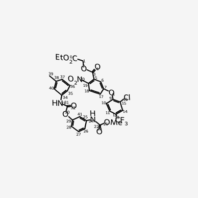 CCOC(=O)COC(=O)c1cc(Oc2ccc(C(F)(F)F)cc2Cl)ccc1[N+](=O)[O-].COC(=O)Nc1cccc(OC(=O)Nc2cccc(C)c2)c1